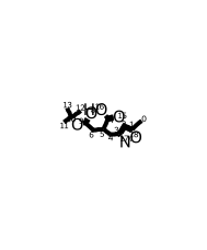 Cc1cc(CC(CC(=O)OC(C)(C)C)C(=O)O)no1